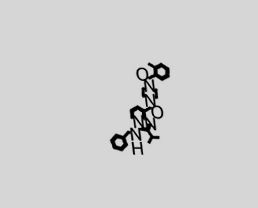 Cc1ccccc1C(=O)N1CCN(C(=O)c2cccn3c(NCc4ccccc4)c(C(C)C)nc23)CC1